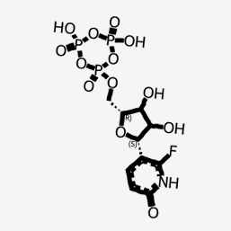 O=c1ccc([C@@H]2O[C@H](COP3(=O)OP(=O)(O)OP(=O)(O)O3)C(O)C2O)c(F)[nH]1